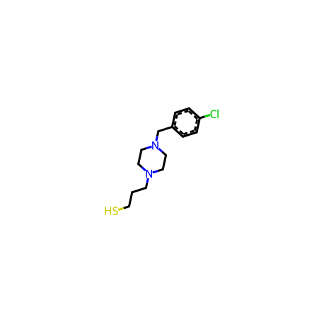 SCCCN1CCN(Cc2ccc(Cl)cc2)CC1